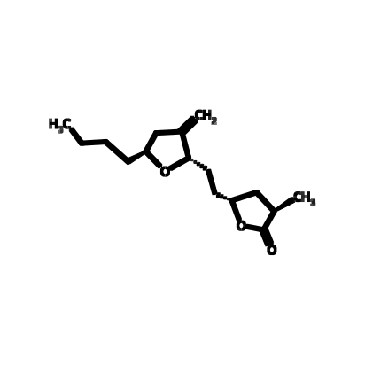 C=C1C[C@H](CCCC)O[C@H]1CC[C@@H]1C[C@@H](C)C(=O)O1